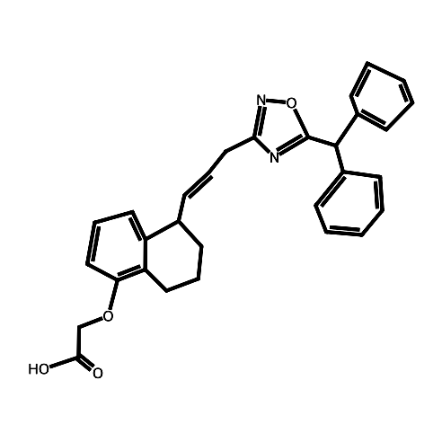 O=C(O)COc1cccc2c1CCCC2C=CCc1noc(C(c2ccccc2)c2ccccc2)n1